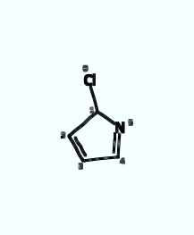 ClC1C=CC=N1